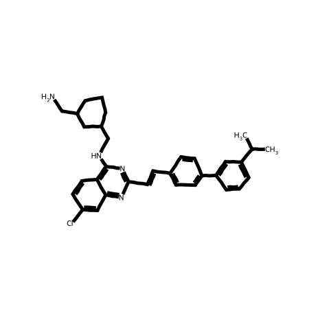 CC(C)c1cccc(-c2ccc(/C=C/c3nc(NCC4CCCC(CN)C4)c4ccc(Cl)cc4n3)cc2)c1